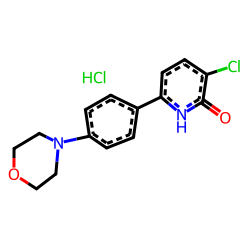 Cl.O=c1[nH]c(-c2ccc(N3CCOCC3)cc2)ccc1Cl